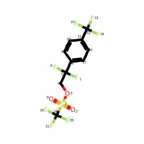 O=S(=O)(OCC(F)(F)c1ccc(C(F)(F)F)cc1)C(F)(F)F